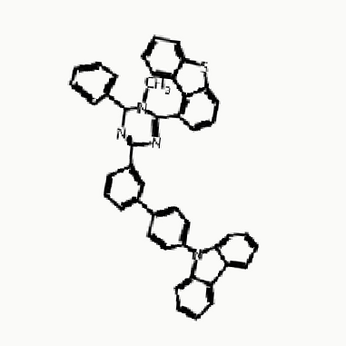 CN1C(c2cccc3sc4ccccc4c23)=NC(c2cccc(-c3ccc(-n4c5ccccc5c5ccccc54)cc3)c2)=NC1c1ccccc1